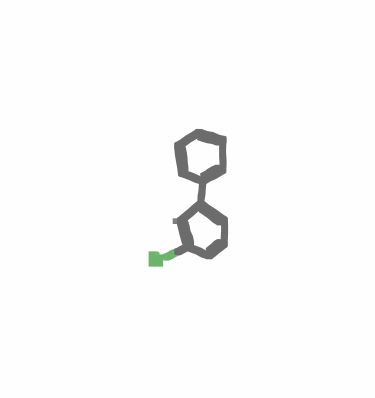 Brc1[c]c(-c2ccccc2)ccc1